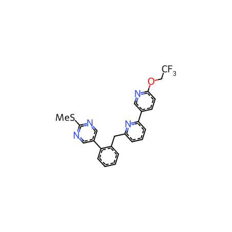 CSc1ncc(-c2ccccc2Cc2cccc(-c3ccc(OCC(F)(F)F)nc3)n2)cn1